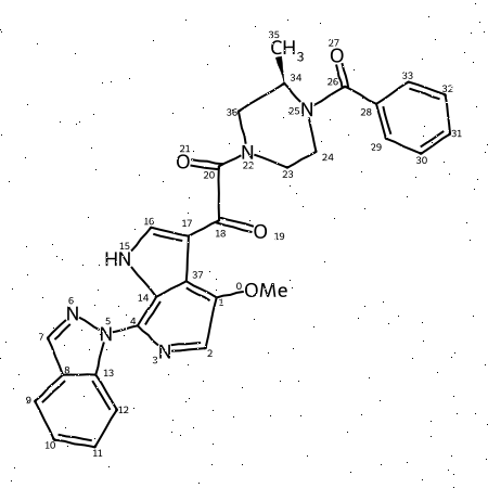 COc1cnc(-n2ncc3ccccc32)c2[nH]cc(C(=O)C(=O)N3CCN(C(=O)c4ccccc4)[C@H](C)C3)c12